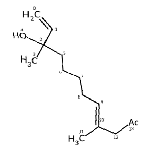 C=CC(C)(O)CCCCC=C(C)CC(C)=O